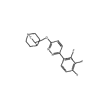 Fc1ccc(-c2ccc(OC3CN4CCC3CC4)nn2)c(F)c1F